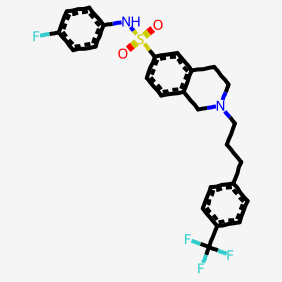 O=S(=O)(Nc1ccc(F)cc1)c1ccc2c(c1)CCN(CCCc1ccc(C(F)(F)F)cc1)C2